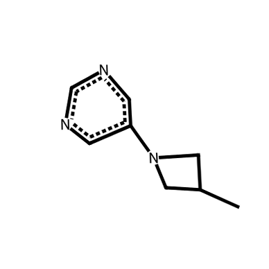 CC1CN(c2cncnc2)C1